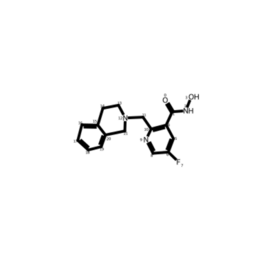 O=C(NO)c1cc(F)cnc1CN1CCc2ccccc2C1